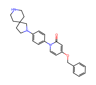 O=c1cc(OCc2ccccc2)ccn1-c1ccc(N2CCC3(CCNCC3)C2)cc1